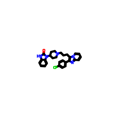 O=c1[nH]c2ccccc2n1C1CCN(CCCc2c(-c3ccc(Cl)cc3)nc3ccccn23)CC1